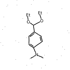 CCOC(OCC)c1ccc(N(C)C)cc1